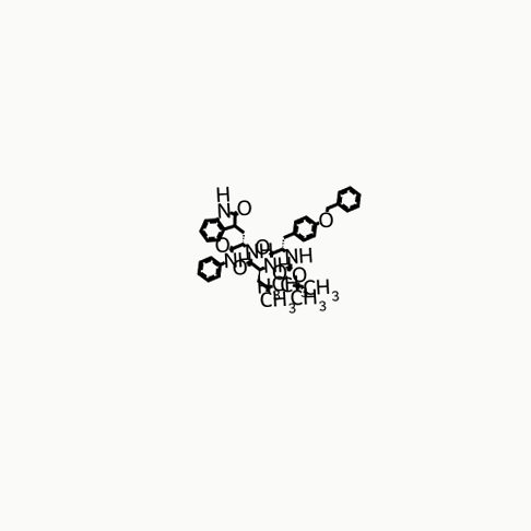 CC(C)C[C@H](NC(=O)[C@H](Cc1ccc(OCc2ccccc2)cc1)NC(=O)OC(C)(C)C)C(=O)N[C@@H](CC1C(=O)Nc2ccccc21)C(=O)Nc1ccccc1